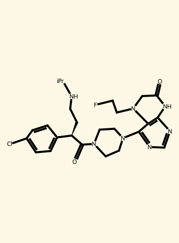 CC(C)NCC[C@@H](C(=O)N1CCN(c2ncnc3c2N(CCF)CC(=O)N3)CC1)c1ccc(Cl)cc1